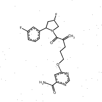 C=C(CCCOc1cc(C(N)=O)ncn1)C(=O)N1CC(F)CC1c1cccc(F)c1